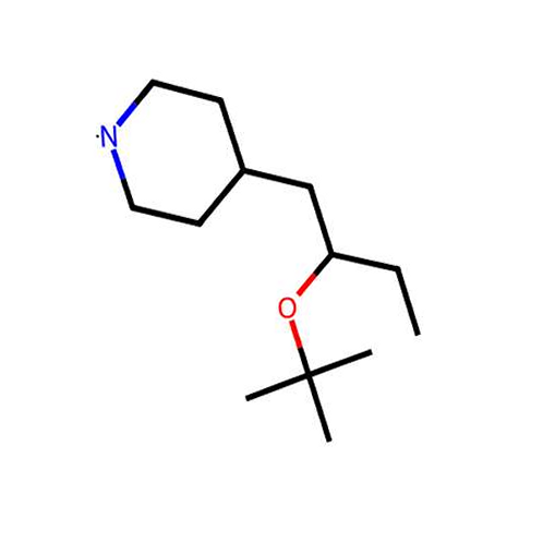 CCC(CC1CC[N]CC1)OC(C)(C)C